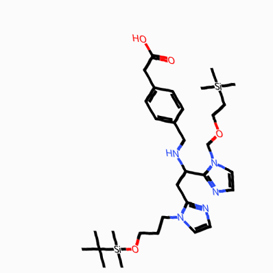 CC(C)(C)[Si](C)(C)OCCCn1ccnc1CC(NCc1ccc(CC(=O)O)cc1)c1nccn1COCC[Si](C)(C)C